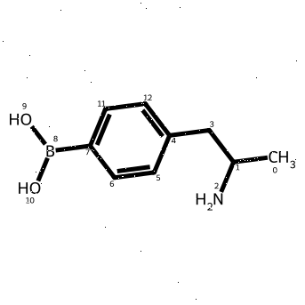 CC(N)Cc1ccc(B(O)O)cc1